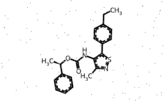 CCc1ccc(-c2snc(C)c2NC(=O)O[C@H](C)c2ccccc2)cc1